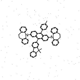 Cc1ccc(-c2c3ccc(N4c5ccccc5CCc5ccccc54)cc3c(-c3ccc4c(c3)C(C)(C)c3ccccc3-4)c3ccc(N4c5ccccc5CCc5ccccc54)cc23)cc1